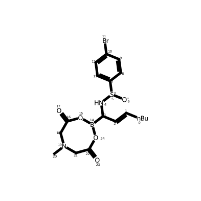 CCCC/C=C/C(N[S+]([O-])c1ccc(Br)cc1)B1OC(=O)CN(C)CC(=O)O1